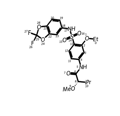 CCOc1cc(NC(=O)[C@@H](OC)C(C)C)ccc1S(=O)(=O)Nc1ccc2c(c1)OC(F)(F)O2